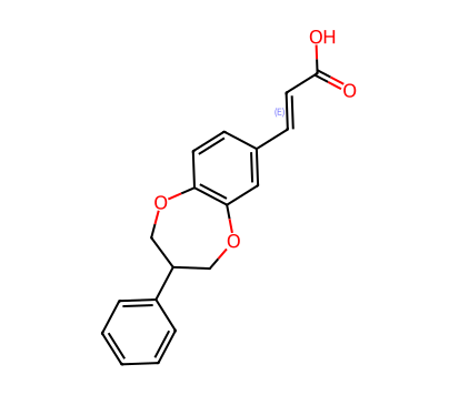 O=C(O)/C=C/c1ccc2c(c1)OCC(c1ccccc1)CO2